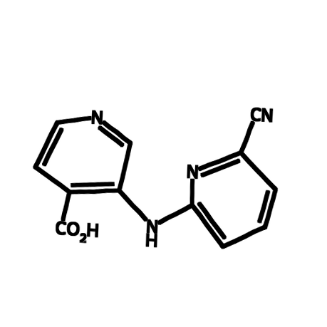 N#Cc1cccc(Nc2cnccc2C(=O)O)n1